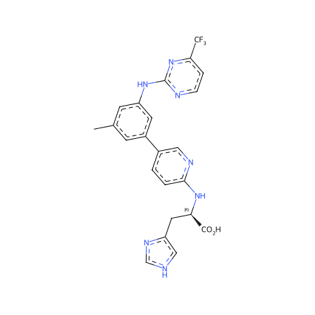 Cc1cc(Nc2nccc(C(F)(F)F)n2)cc(-c2ccc(N[C@H](Cc3c[nH]cn3)C(=O)O)nc2)c1